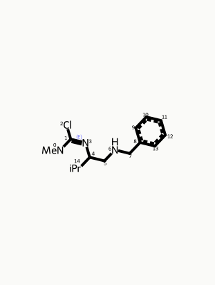 CN/C(Cl)=N\C(CNCc1ccccc1)C(C)C